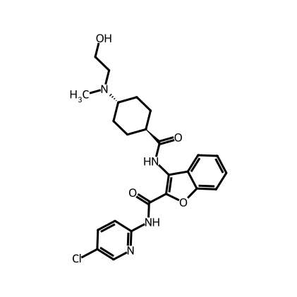 CN(CCO)[C@H]1CC[C@H](C(=O)Nc2c(C(=O)Nc3ccc(Cl)cn3)oc3ccccc23)CC1